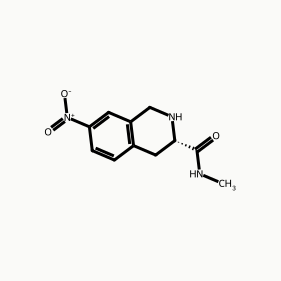 CNC(=O)[C@@H]1Cc2ccc([N+](=O)[O-])cc2CN1